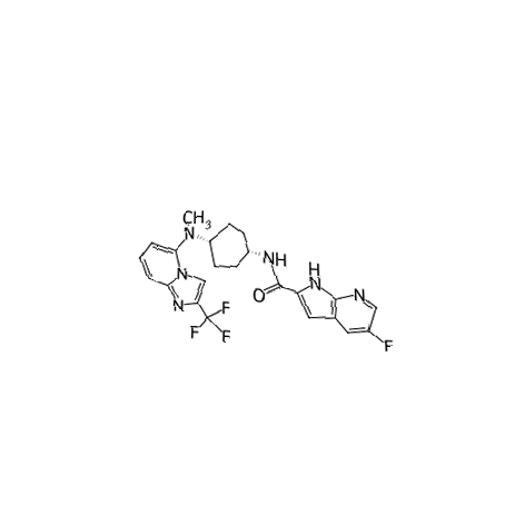 CN(c1cccc2nc(C(F)(F)F)cn12)[C@H]1CC[C@@H](NC(=O)c2cc3cc(F)cnc3[nH]2)CC1